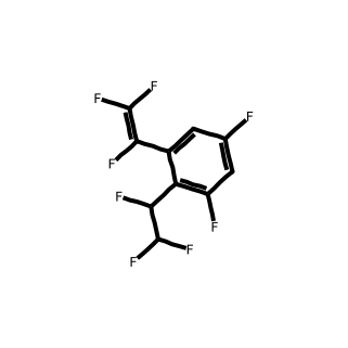 FC(F)=C(F)c1cc(F)cc(F)c1C(F)C(F)F